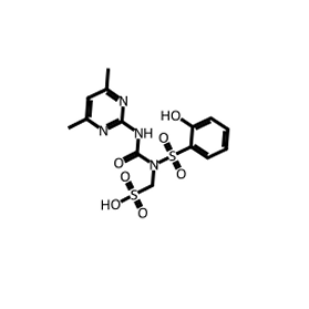 Cc1cc(C)nc(NC(=O)N(CS(=O)(=O)O)S(=O)(=O)c2ccccc2O)n1